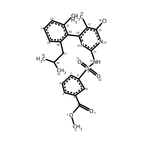 COC(=O)c1cccc(S(=O)(=O)Nc2nc(Cl)c(C)c(-c3c(C)cccc3CC(C)C)n2)c1